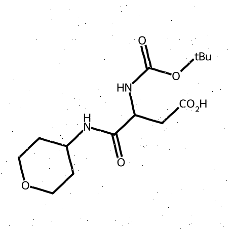 CC(C)(C)OC(=O)NC(CC(=O)O)C(=O)NC1CCOCC1